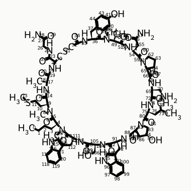 CCCC[C@H]1C(=O)N(C)[C@@H](CCSC)C(=O)N[C@@H](C)C(=O)NC(C(=O)NCC(N)=O)CSCC(=O)N[C@@H](Cc2ccc(O)cc2)C(=O)N(C)[C@@H](C)C(=O)N[C@@H](CC(N)=O)C(=O)N2CCC[C@H]2C(=O)N[C@@H](CN)C(=O)N[C@@H](CC(C)C)C(=O)N2C[C@H](O)C[C@H]2C(=O)N[C@@H](Cc2c[nH]c3ccccc23)C(=O)N[C@@H](CO)C(=O)N[C@@H](Cc2c[nH]c3ccccc23)C(=O)N1C